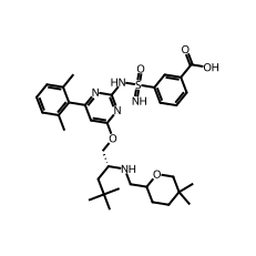 Cc1cccc(C)c1-c1cc(OC[C@@H](CC(C)(C)C)NCC2CCC(C)(C)CO2)nc(NS(=N)(=O)c2cccc(C(=O)O)c2)n1